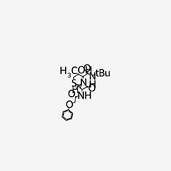 CC(C)(C)NC(=O)C1N2C(=O)C(NC(=O)COc3ccccc3)[C@H]2SCC1(C)O